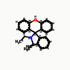 CCN(CC)C1(c2ccccc2C)c2ccccc2Oc2ccccc21